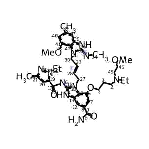 CCN(CCCOc1cc(C(N)=O)cc2[nH]/c(=N\C(=O)c3cc(C)nn3CC)n(C/C=C/Cn3/c(=N/C)[nH]c4cc(C)cc(OC)c43)c12)CCOC